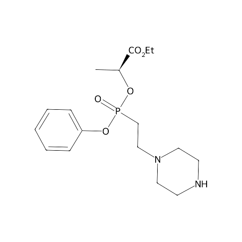 CCOC(=O)[C@H](C)OP(=O)(CCN1CCNCC1)Oc1ccccc1